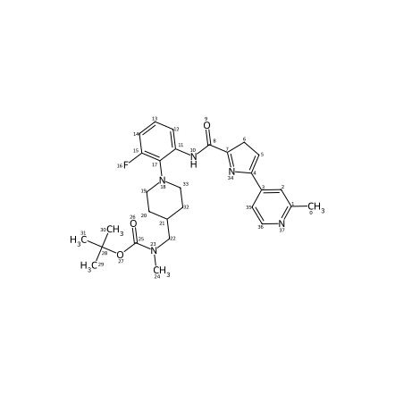 Cc1cc(C2=CCC(C(=O)Nc3cccc(F)c3N3CCC(CN(C)C(=O)OC(C)(C)C)CC3)=N2)ccn1